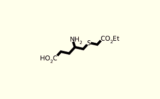 CCOC(=O)CSCC(N)CCC(=O)O